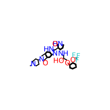 CN1CCC(N2Cc3cc4[nH]c(-c5c(NC[C@@H](O)COc6ccccc6OC(F)(F)F)cc[nH]c5=O)nc4cc3C2=O)CC1